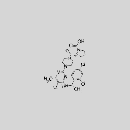 Cc1nc(N2CCN(C(=O)[C@H]3CCCN3C(=O)O)CC2)nc(NC(C)c2ccc(Cl)cc2Cl)c1Cl